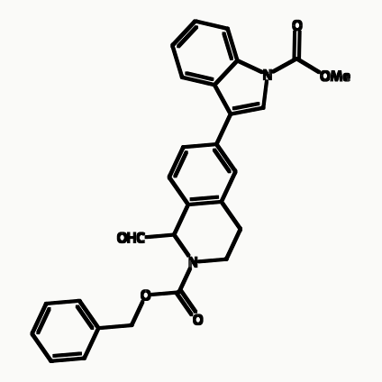 COC(=O)n1cc(-c2ccc3c(c2)CCN(C(=O)OCc2ccccc2)C3C=O)c2ccccc21